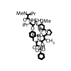 CC[C@H](C)[C@@H]([C@@H](CC(=O)N1CCC[C@H]1[C@H](OC)[C@@H](C)C(=O)N[C@@H](Cc1ccccc1)C(=O)NS(=O)(=O)c1ccccc1)OC)N(C)C(=O)[C@@H](NC(=O)C(NC)C(C)C)C(C)C